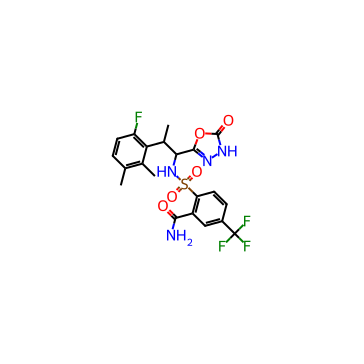 Cc1ccc(F)c(C(C)C(NS(=O)(=O)c2ccc(C(F)(F)F)cc2C(N)=O)c2n[nH]c(=O)o2)c1C